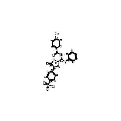 O=C(N[C@@H](Cc1ccccc1)[C@H]1CN(c2ccc(S(=O)(=O)Cl)cc2)C(=O)O1)c1ccc(F)cc1